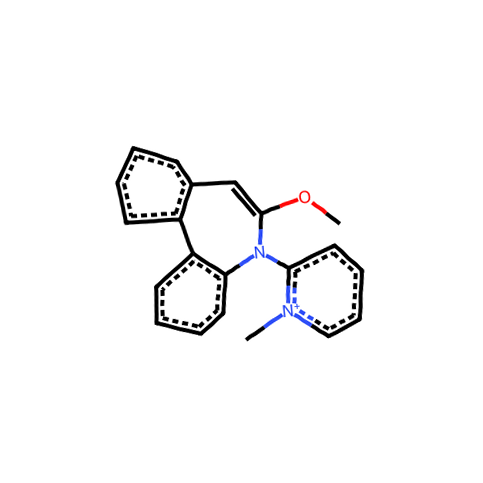 COC1=Cc2ccccc2-c2ccccc2N1c1cccc[n+]1C